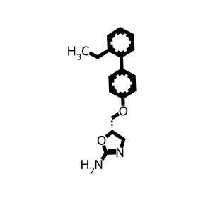 CCc1ccccc1-c1ccc(OC[C@@H]2CN=C(N)O2)cc1